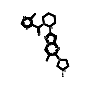 Cc1cn2nc([C@@H]3CCCCN3C(=O)c3scnc3C)cc2nc1N1CC[C@H](C)C1